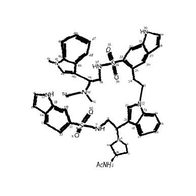 CC(=O)N[C@@H]1CCN(C(CNS(=O)(=O)c2ccc3cc[nH]c3c2)c2cn(CCc3cc4cc[nH]c4cc3S(=O)(=O)NCC(c3cn(C)c4ccccc34)N(C)C)c3ccccc23)C1